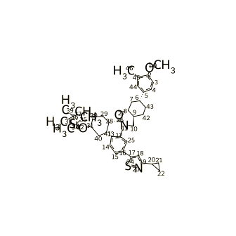 COc1ccc([C@H]2CC[C@H](CN(c3cccc(-c4cc(C5CC5)ns4)c3)C(=O)[C@H]3CC[C@H](O[Si](C)(C)C(C)(C)C)CC3)CC2)cc1C